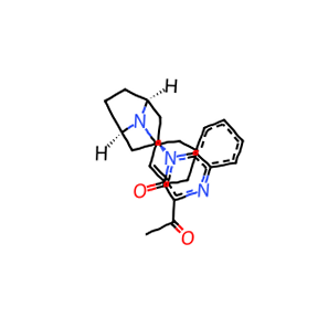 CC(=O)c1nc2ccccc2n([C@H]2C[C@H]3CC[C@@H](C2)N3C2C=CCCC2)c1=O